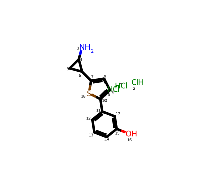 Cl.Cl.Cl.NC1CC1c1ccc(-c2cccc(O)c2)s1